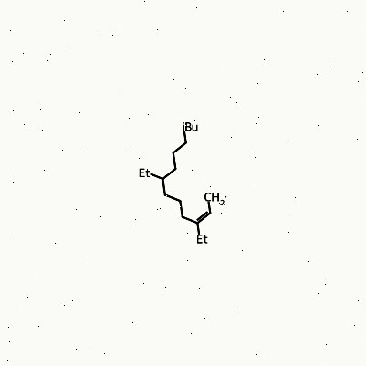 [CH2]C=C(CC)CCCC(CC)CCCC(C)CC